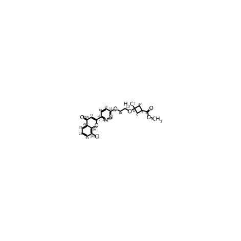 COC(=O)C1CC(C)(OCCOc2ccc(-c3cc(=O)c4cccc(Cl)c4o3)nn2)C1